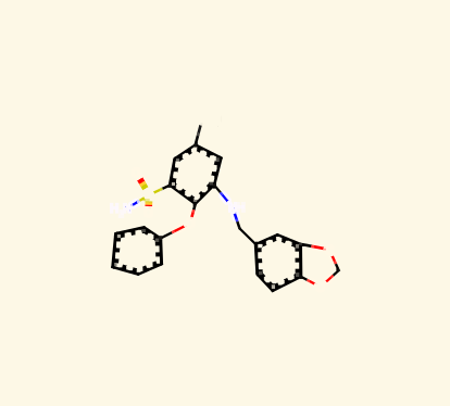 NS(=O)(=O)c1cc(C(=O)O)cc(NCc2ccc3c(c2)OCO3)c1Oc1ccccc1